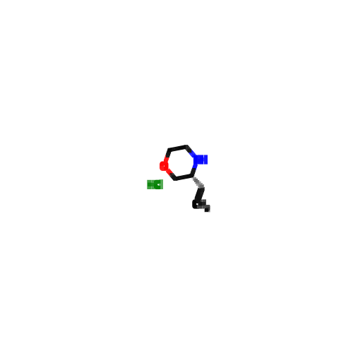 C=C[C@@H]1COCCN1.Cl